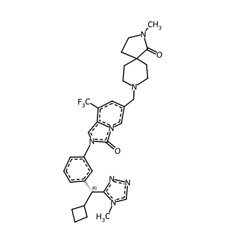 CN1CCC2(CCN(Cc3cc(C(F)(F)F)c4cn(-c5cccc([C@H](c6nncn6C)C6CCC6)c5)c(=O)n4c3)CC2)C1=O